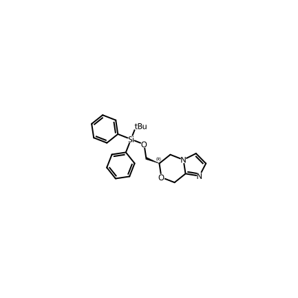 CC(C)(C)[Si](OC[C@H]1Cn2ccnc2CO1)(c1ccccc1)c1ccccc1